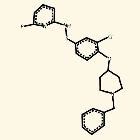 Fc1cccc(NSc2ccc(OC3CCN(Cc4ccccc4)CC3)c(Cl)c2)n1